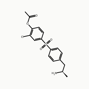 CC(=O)Oc1ccc(S(=O)(=O)c2ccc(C[C@@H](C)N)cc2)cc1Cl